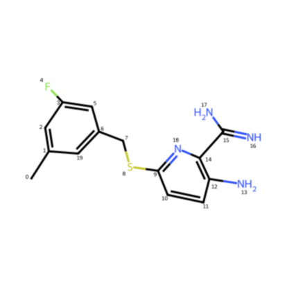 Cc1cc(F)cc(CSc2ccc(N)c(C(=N)N)n2)c1